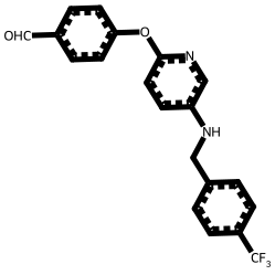 O=Cc1ccc(Oc2ccc(NCc3ccc(C(F)(F)F)cc3)cn2)cc1